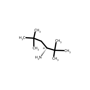 CC(C)(C)C[C@@H](N)C(C)(C)C